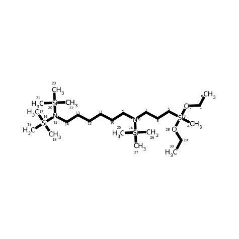 CCO[Si](C)(CCCN(CCCCCCN([Si](C)(C)C)[Si](C)(C)C)[Si](C)(C)C)OCC